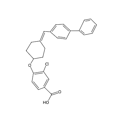 O=C(O)c1ccc(OC2CCC(=Cc3ccc(-c4ccccc4)cc3)CC2)c(Cl)c1